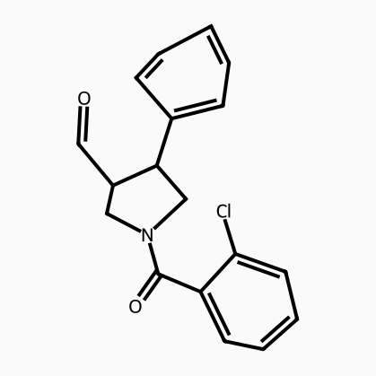 O=CC1CN(C(=O)c2ccccc2Cl)CC1c1ccccc1